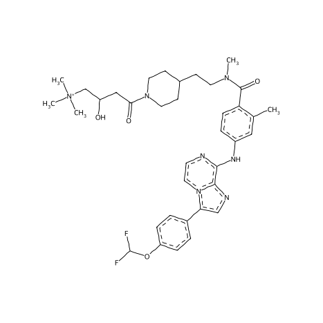 Cc1cc(Nc2nccn3c(-c4ccc(OC(F)F)cc4)cnc23)ccc1C(=O)N(C)CCC1CCN(C(=O)CC(O)C[N+](C)(C)C)CC1